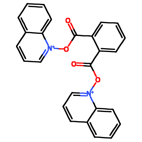 O=C(O[n+]1cccc2ccccc21)c1ccccc1C(=O)O[n+]1cccc2ccccc21